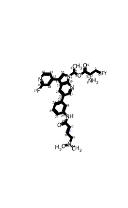 CC(C)C[C@H](N)C(=O)OC(C)n1cc(-c2ccnc(F)c2)c2cc(-c3cccc(NC(=O)/C=C/CN(C)C)c3)cnc21